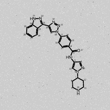 O=C(Nc1cnn(C2CCNCC2)c1)c1ccc(-n2cc(-c3n[nH]c4ccccc34)nn2)cc1